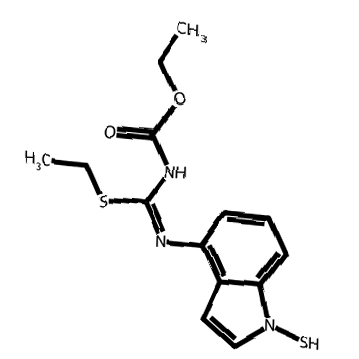 CCOC(=O)N/C(=N\c1cccc2c1ccn2S)SCC